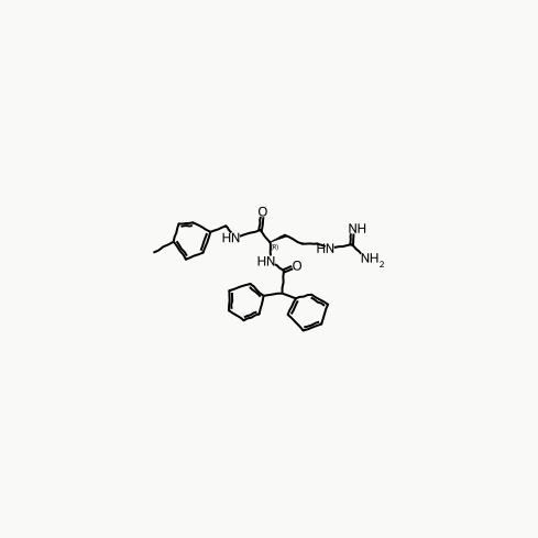 Cc1ccc(CNC(=O)[C@@H](CCCNC(=N)N)NC(=O)C(c2ccccc2)c2ccccc2)cc1